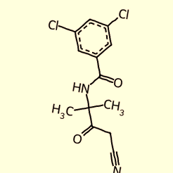 CC(C)(NC(=O)c1cc(Cl)cc(Cl)c1)C(=O)CC#N